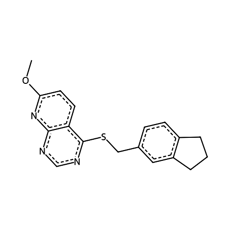 COc1ccc2c(SCc3ccc4c(c3)CCC4)ncnc2n1